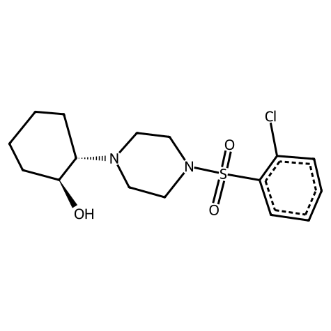 O=S(=O)(c1ccccc1Cl)N1CCN([C@H]2CCCC[C@@H]2O)CC1